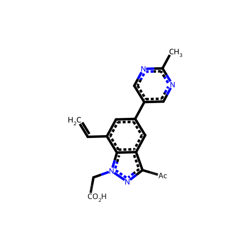 C=Cc1cc(-c2cnc(C)nc2)cc2c(C(C)=O)nn(CC(=O)O)c12